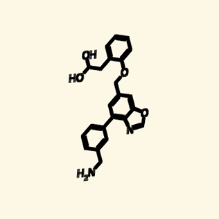 NCc1cccc(-c2cc(COc3ccccc3CC(O)O)cc3ocnc23)c1